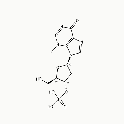 Cn1cnc(=O)c2ncn([C@H]3C[C@H](OP(=O)(O)O)[C@@H](CO)O3)c21